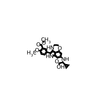 COC(=O)c1cc(-c2[nH]c3cc(N[C@H](C(=O)O)C4CC4)cc4c3c2NCCO4)ccc1OC